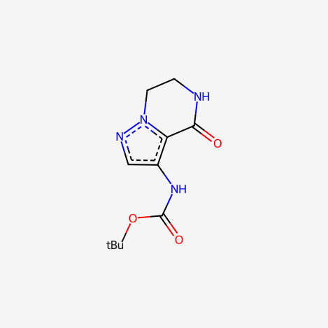 CC(C)(C)OC(=O)Nc1cnn2c1C(=O)NCC2